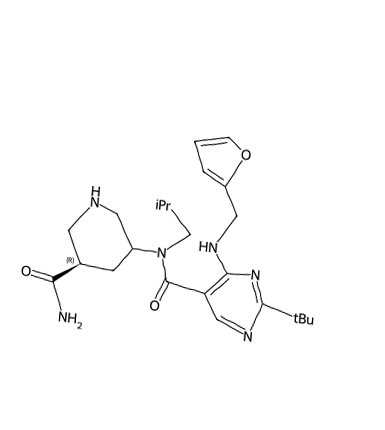 CC(C)CN(C(=O)c1cnc(C(C)(C)C)nc1NCc1ccco1)C1CNC[C@H](C(N)=O)C1